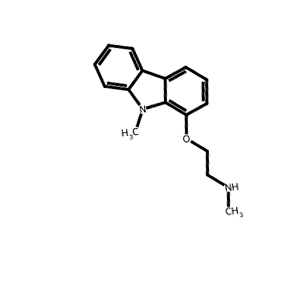 CNCCOc1cccc2c3ccccc3n(C)c12